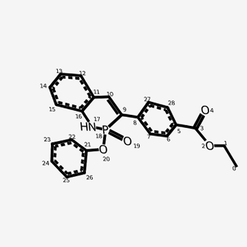 CCOC(=O)c1ccc(C2=Cc3ccccc3NP2(=O)Oc2ccccc2)cc1